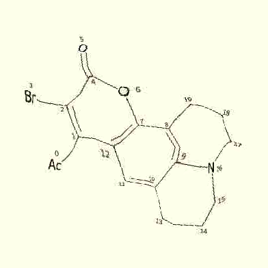 CC(=O)c1c(Br)c(=O)oc2c3c4c(cc12)CCCN4CCC3